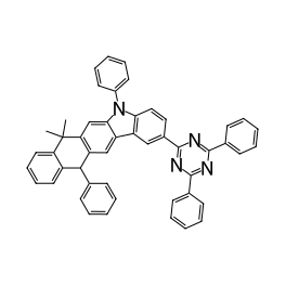 CC1(C)c2ccccc2C(c2ccccc2)c2cc3c4cc(-c5nc(-c6ccccc6)nc(-c6ccccc6)n5)ccc4n(-c4ccccc4)c3cc21